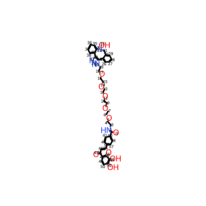 O=C(NCCOCCOCCOCCOCCOCCn1nnc2c1-c1ccccc1CN(O)c1ccccc1-2)c1ccc(-c2cc(=O)c3ccc(O)c(O)c3o2)cc1